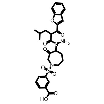 CC(C)CC(C(=O)c1cc2ccccc2o1)C(=O)N(N)C1CCCN(S(=O)(=O)c2cccc(C(=O)O)c2)CC1=O